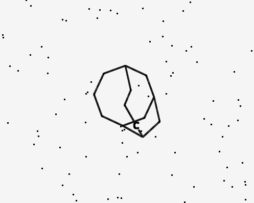 C1CC2CCCC3CC(C2)CC3C1